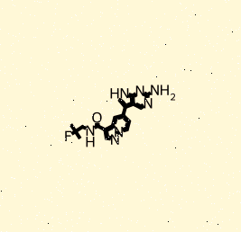 CC(C)(F)CNC(=O)c1cnn2ccc(-c3c[nH]c4nc(N)ncc34)cc12